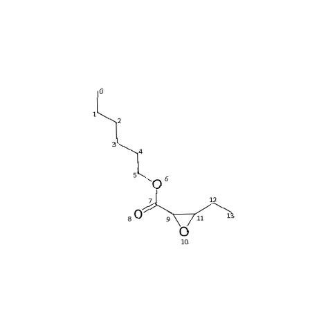 CCCCCCOC(=O)C1OC1CC